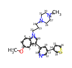 COc1ccc2c(c1)c(-c1cncc(-c3ccsc3)c1)cn2CCCN1CCN(C)CC1